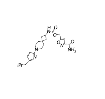 CC(C)Cc1ccc(N2CCC3(CC2)CC(NC(=O)OCc2cc(C(N)=O)no2)C3)nc1